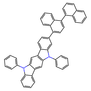 c1ccc(-n2c3ccccc3c3cc4c(cc32)c2ccc(-c3ccc(-c5cccc6ccccc56)c5ccccc35)cc2n4-c2ccccc2)cc1